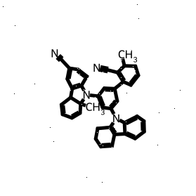 CC1CC=CC(c2cc(N3c4ccc(C#N)cc4C4C=CC=CC43C)cc(-n3c4c(c5ccccc53)C=CCC4)c2)=C1C#N